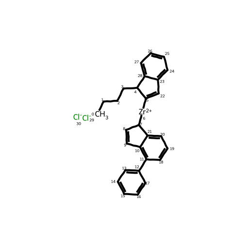 CCCCC1[C]([Zr+2][CH]2C=Cc3c(-c4ccccc4)cccc32)=Cc2ccccc21.[Cl-].[Cl-]